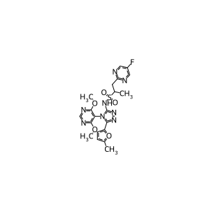 COc1ncnc(OC)c1-n1c(NS(=O)(=O)C(C)Cc2ncc(F)cn2)nnc1-c1ccc(C)o1